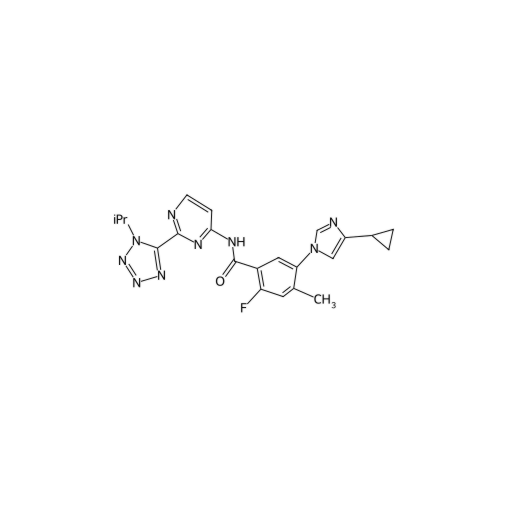 Cc1cc(F)c(C(=O)Nc2ccnc(-c3nnnn3C(C)C)n2)cc1-n1cnc(C2CC2)c1